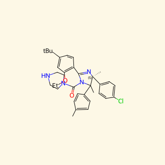 CCOc1cc(C(C)(C)C)ccc1C1=N[C@@](C)(c2ccc(Cl)cc2)C(C)(c2ccc(C)cc2)N1C(=O)N1CCNCC1